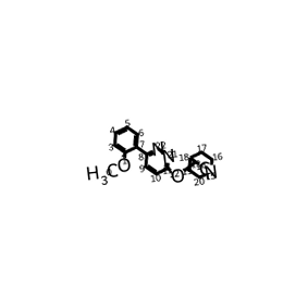 COc1ccccc1-c1ccc(OC2CN3CCC2CC3)nn1